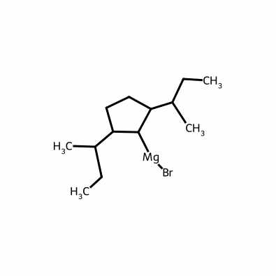 CCC(C)C1CCC(C(C)CC)[CH]1[Mg][Br]